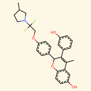 CC1=C(c2cccc(O)c2)C(c2ccc(OCC(F)(F)N3CCC(C)C3)cc2)Oc2ccc(O)cc21